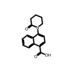 O=C(O)c1ccc(N2CCCCC2=O)c2ccccc12